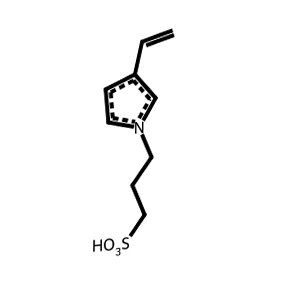 C=Cc1ccn(CCCS(=O)(=O)O)c1